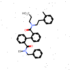 CCN(Cc1ccccc1)C(=O)c1ccccc1-c1ccccc1C(=O)N(CCC(=O)O)CCc1ccccc1C